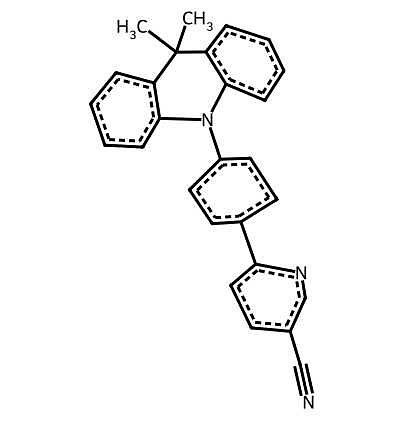 CC1(C)c2ccccc2N(c2ccc(-c3ccc(C#N)cn3)cc2)c2ccccc21